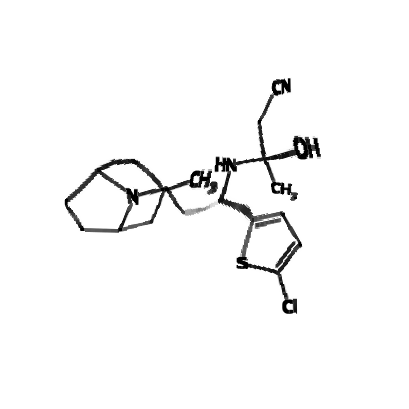 CC1CC2CCC(C1)N2CC[C@H](NC(C)(O)CC#N)c1ccc(Cl)s1